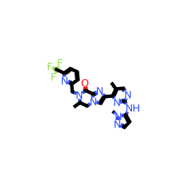 Cc1cnc(Nc2ccnn2C)nc1-c1cn2c(n1)C(=O)N(Cc1cccc(C(F)(F)F)n1)C(C)C2